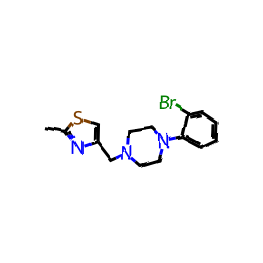 Cc1nc(CN2CCN(c3ccccc3Br)CC2)cs1